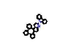 c1ccc2c(c1)-c1ccccc1-c1ccc3nc(-n4c5ccccc5c5ccccc54)ccc3c1-c1ccccc1-2